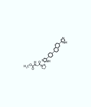 COC(=O)NCC(=O)N1CCC[C@H]1c1ncc(-c2ccc(-c3ccc4cc(-c5cnc[nH]5)ccc4c3)cc2)[nH]1